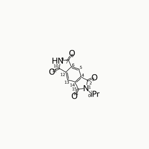 CC(C)n1c(=O)c2cc3c(=O)[nH]c(=O)c3cc2c1=O